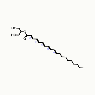 CCCCCCCCC/C=C/C=C/C=C/C=C/C=C/C(=O)OC(CO)CO